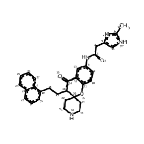 Cc1nc(CC(=O)Nc2ccc3c(c2)C(=O)C(CCc2cccc4ccccc24)C2(CCNCC2)O3)c[nH]1